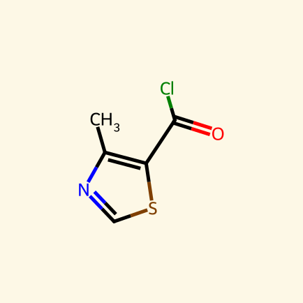 Cc1ncsc1C(=O)Cl